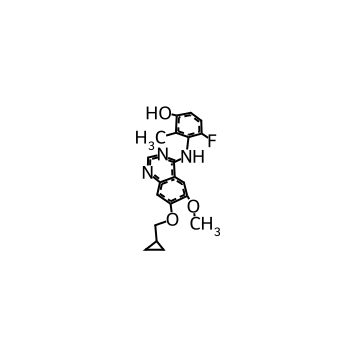 COc1cc2c(Nc3c(F)ccc(O)c3C)ncnc2cc1OCC1CC1